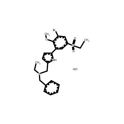 CCN(Cc1ccccc1)Cc1ccc(-c2cc(S(=O)(=O)CC)cc(Br)c2OC)[nH]1.Cl